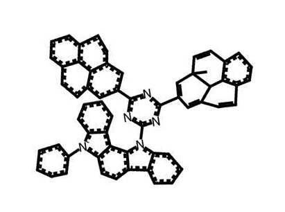 CC12C=Cc3cccc4c3C1C(=CC(c1nc(-c3cc5ccc6cccc7ccc(c3)c5c67)nc(-n3c5ccccc5c5ccc6c(c7ccccc7n6-c6ccccc6)c53)n1)=C2)C=C4